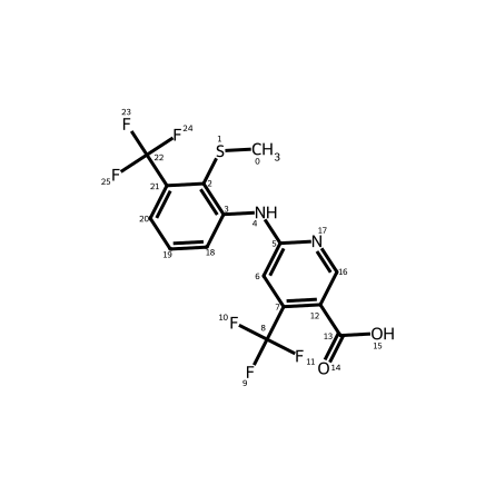 CSc1c(Nc2cc(C(F)(F)F)c(C(=O)O)cn2)cccc1C(F)(F)F